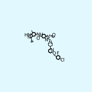 Cc1cc(NC(=O)c2ccc3c(c2)nc(CN2CCC(c4cccc(OCc5ccc(Cl)cc5F)n4)CC2)n3C[C@@H]2CCO2)cc2c(C3CC3)n[nH]c12